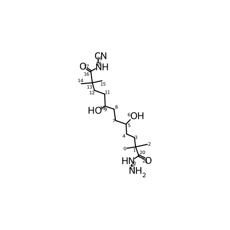 CC(C)(CCC(O)CCC(O)CCC(C)(C)C(=O)NC#N)C(=O)NN